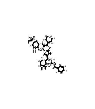 O=C(N[C@H](c1cn2nc(C[C@H]3C[C@@H](C(F)(F)F)CNC3=O)c(C3CCOCC3)nc2n1)[C@H]1CCCC(F)(F)C1)OCc1ccccc1